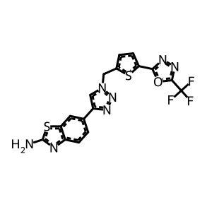 Nc1nc2ccc(-c3cn(Cc4ccc(-c5nnc(C(F)(F)F)o5)s4)nn3)cc2s1